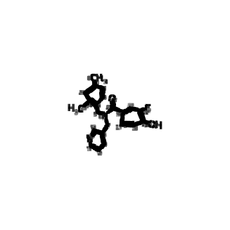 Cc1ccc(CN(Cc2cccnc2)C(=O)c2ccc(O)c(F)c2)c(C)c1